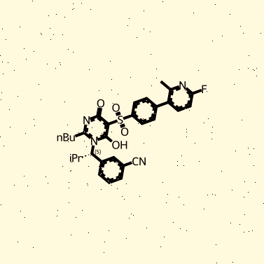 CCCCc1nc(=O)c(S(=O)(=O)c2ccc(-c3ccc(F)nc3C)cc2)c(O)n1[C@H](c1cccc(C#N)c1)C(C)C